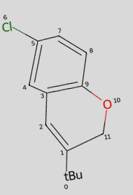 CC(C)(C)C1=Cc2cc(Cl)ccc2OC1